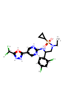 O=S(=O)(C1CC1)N(CC(Nc1ncc(-c2nnc(C(F)F)o2)cn1)c1ccc(F)cc1F)CC(F)(F)F